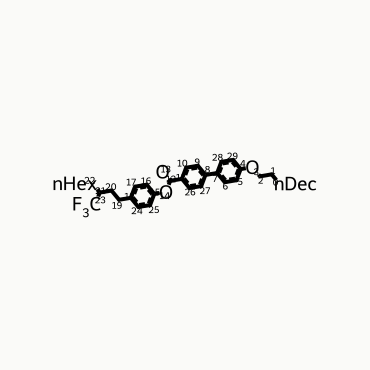 CCCCCCCCCCCCOc1ccc(-c2ccc(C(=O)Oc3ccc(CCC(CCCCCC)C(F)(F)F)cc3)cc2)cc1